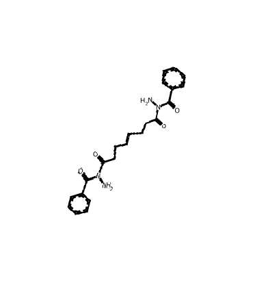 NN(C(=O)CCCCCCC(=O)N(N)C(=O)c1ccccc1)C(=O)c1ccccc1